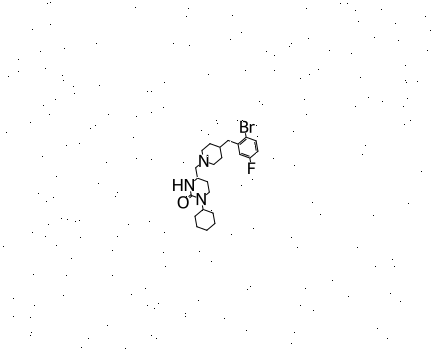 O=C1NC(CN2CCC(Cc3cc(F)ccc3Br)CC2)CCN1C1CCCCC1